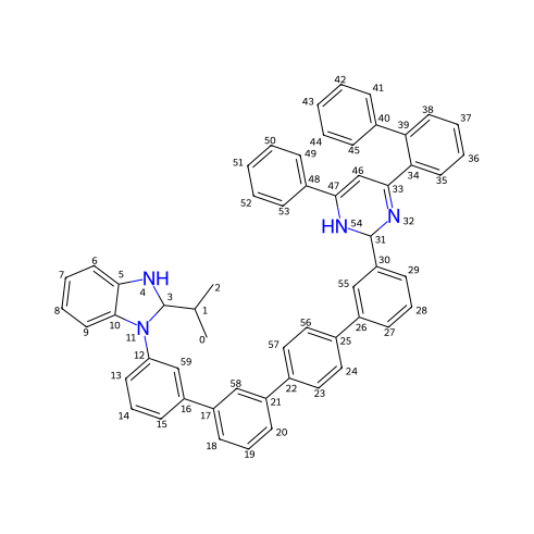 CC(C)C1Nc2ccccc2N1c1cccc(-c2cccc(-c3ccc(-c4cccc(C5N=C(c6ccccc6-c6ccccc6)C=C(c6ccccc6)N5)c4)cc3)c2)c1